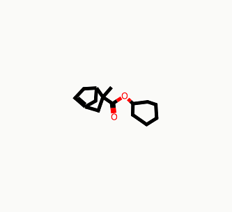 CC1(C(=O)OC2CCCCC2)CC2=CCC1C2